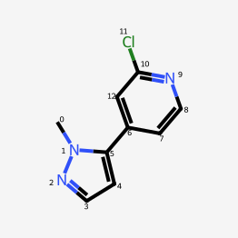 Cn1nccc1-c1ccnc(Cl)c1